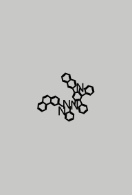 c1ccc2cc3c(cc2c1)c1cc2c(c4ccccc4n2-c2nc(-c4ccc5ccc6ccccc6c5c4)nc4ccccc24)c2c4ccccc4n3c12